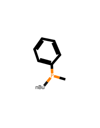 CCCCP(C)c1ccccc1